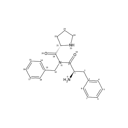 N[C@H](Cc1ccccc1)C(=O)N(Cc1ccccc1)C(=O)[C@@H]1CCCN1